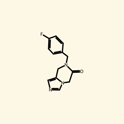 O=C1Cn2cncc2CN1Cc1ccc(F)cc1